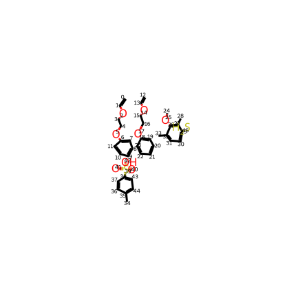 C=COCCOc1ccccc1.C=COCCOc1ccccc1.COc1c(C)cccc1C.Cc1ccc(S(=O)(=O)O)cc1.S